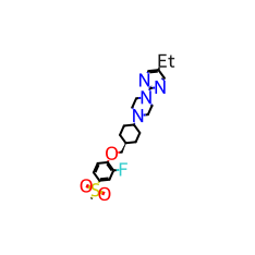 CCc1cnc(N2CCN([C@H]3CC[C@H](COc4ccc(S(C)(=O)=O)cc4F)CC3)CC2)nc1